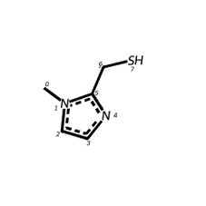 Cn1ccnc1[CH]S